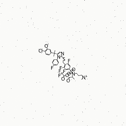 COc1cc(C(C)(C)c2cnc(SCc3c(F)cc(S(=O)(=O)N(CCC[N+](C)(C)C)C(C)C(=O)OC(=O)C(F)(F)F)cc3F)n2-c2ccc(F)cc2)ccc1Cl